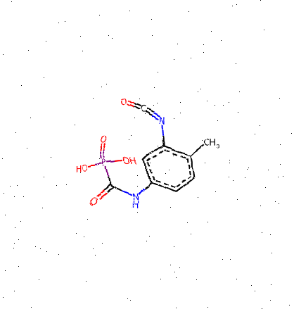 Cc1ccc(NC(=O)P(=O)(O)O)cc1N=C=O